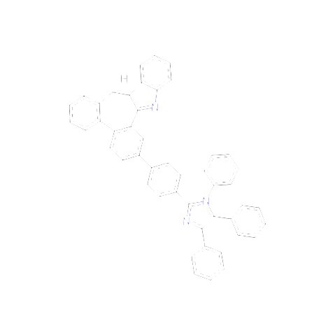 c1ccc(-c2nc(-c3ccc(-c4ccc5c(c4)C4=Nc6ccccc6[C@@H]4Cc4ccccc4-5)cc3)n(-c3ccccc3)c2-c2ccccc2)cc1